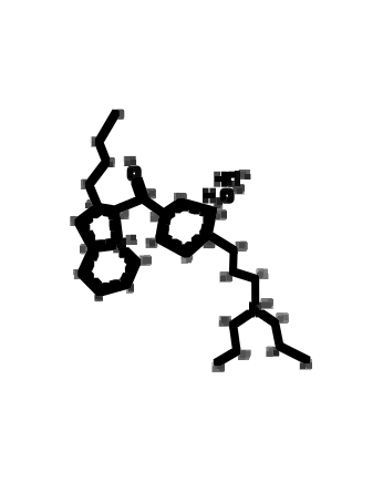 CCCCc1cc2ccccn2c1C(=O)c1ccc(CCCN(CCC)CCC)cc1.Cl.O